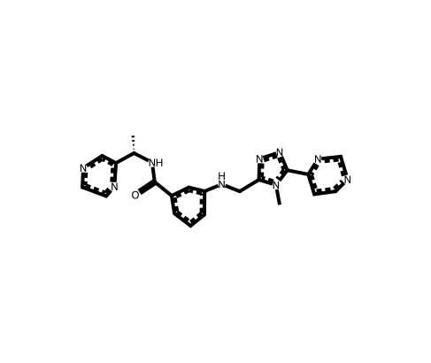 C[C@H](NC(=O)c1cccc(NCc2nnc(-c3ccncn3)n2C)c1)c1cnccn1